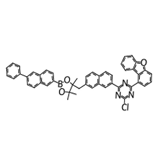 CC1(C)OB(c2ccc3cc(-c4ccccc4)ccc3c2)OC1(C)Cc1ccc2ccc(-c3nc(Cl)nc(-c4cccc5oc6ccccc6c45)n3)cc2c1